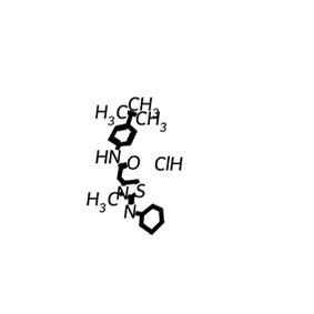 CN1C(=NC2CCCCC2)SCC1CC(=O)Nc1ccc(C(C)(C)C)cc1.Cl